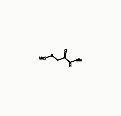 CCCCNC(=O)CSSC